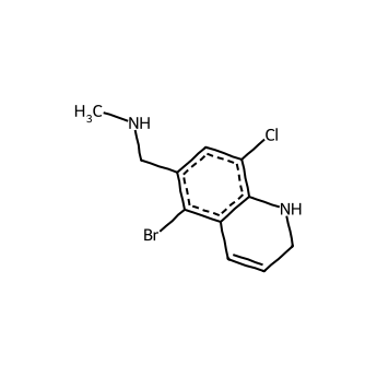 CNCc1cc(Cl)c2c(c1Br)C=CCN2